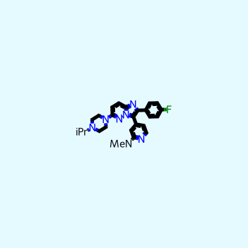 CNc1cc(-c2c(-c3ccc(F)cc3)nc3ccc(N4CCN(C(C)C)CC4)nn23)ccn1